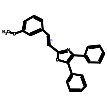 COc1cccc(/C=C/c2nc(-c3ccccc3)c(-c3ccccc3)o2)c1